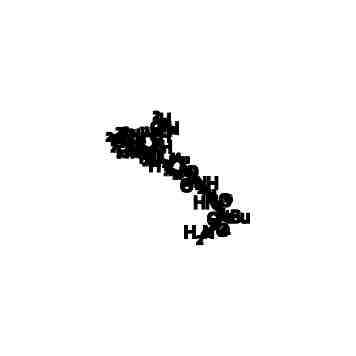 [2H]C(=C([2H])C1([2H])C=C(OC([2H])([2H])[2H])CC([2H])(OC([2H])([2H])[2H])C1([2H])[2H])c1ccc(OC(=O)NCCNC(=O)C(OC(N)=O)C(C)(C)C)cc1